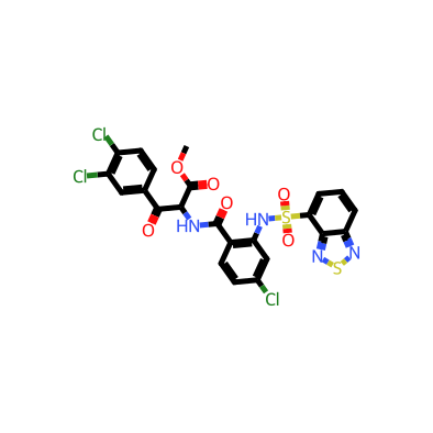 COC(=O)C(NC(=O)c1ccc(Cl)cc1NS(=O)(=O)c1cccc2nsnc12)C(=O)c1ccc(Cl)c(Cl)c1